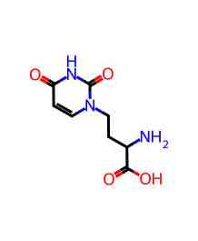 NC(CCn1ccc(=O)[nH]c1=O)C(=O)O